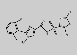 Cn1cc(C(=O)NS(=O)(=O)c2cc(Cl)sc2Cl)nc1-c1c(F)cccc1F